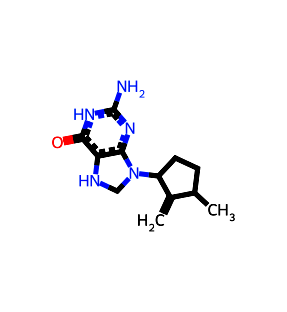 C=C1C(C)CCC1N1CNc2c1nc(N)[nH]c2=O